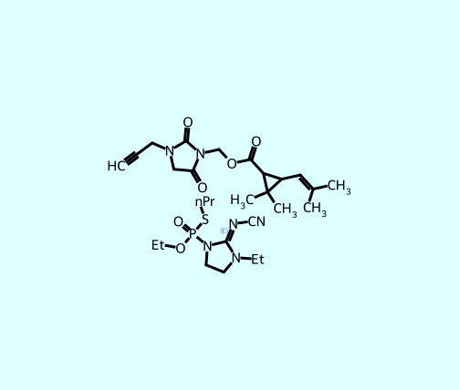 C#CCN1CC(=O)N(COC(=O)C2C(C=C(C)C)C2(C)C)C1=O.CCCSP(=O)(OCC)N1CCN(CC)/C1=N\C#N